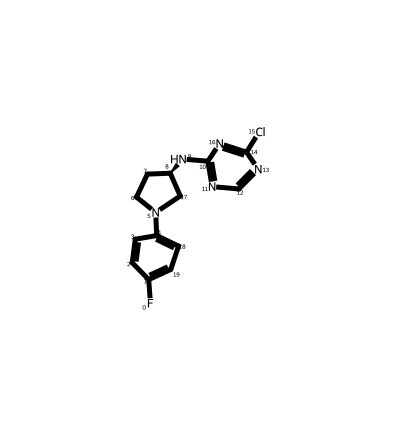 Fc1ccc(N2CC[C@@H](Nc3ncnc(Cl)n3)C2)cc1